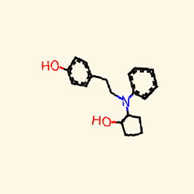 Oc1ccc(CCN(c2ccccc2)C2CCCC2O)cc1